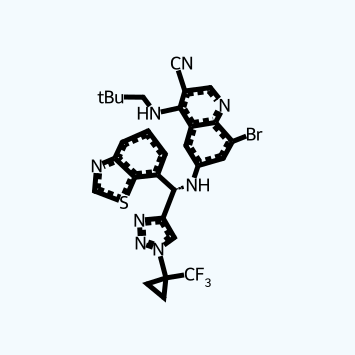 CC(C)(C)CNc1c(C#N)cnc2c(Br)cc(N[C@H](c3cn(C4(C(F)(F)F)CC4)nn3)c3cccc4ncsc34)cc12